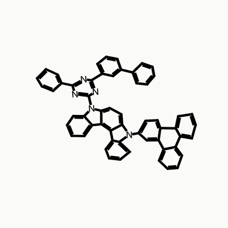 c1ccc(-c2cccc(-c3nc(-c4ccccc4)nc(-n4c5ccccc5c5c6c7ccccc7n(-c7ccc8c9ccccc9c9ccccc9c8c7)c6ccc54)n3)c2)cc1